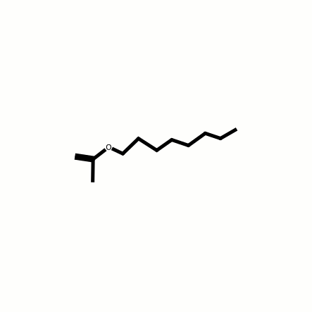 C=C(C)OCCCCCCCC